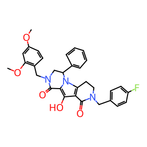 COc1ccc(CN2CC(c3ccccc3)n3c4c(c(O)c3C2=O)C(=O)N(Cc2ccc(F)cc2)CC4)c(OC)c1